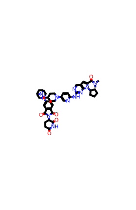 CN(C)C(=O)c1cc2cnc(Nc3ccc(N4CCC(CN5C6CC5CN(c5ccc7c(c5)C(=O)N(C5CCC(=O)NC5=O)C7=O)C6)CC4)cn3)nc2n1C1CCCC1